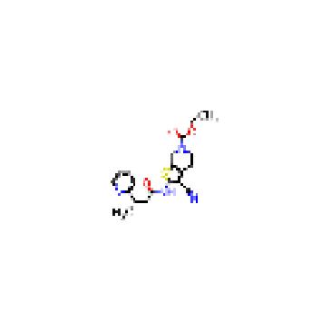 CCOC(=O)N1CCc2c(sc(NC(=O)C[C@H](C)c3ccccn3)c2C#N)C1